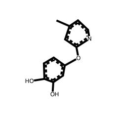 Cc1ccnc(Oc2ccc(O)c(O)c2)c1